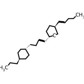 CCC/C=C/[C@H]1CC[C@H](/C=C/CC[C@H]2CC[C@H](CCC)CC2)CC1